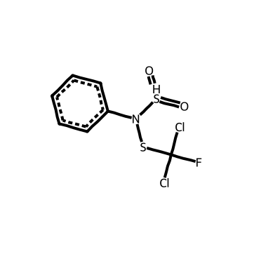 O=[SH](=O)N(SC(F)(Cl)Cl)c1ccccc1